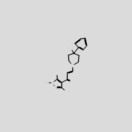 CCn1nc(C)c(C(=O)C=CN2CCC(C(C)=O)(c3ccccc3)CC2)c1C